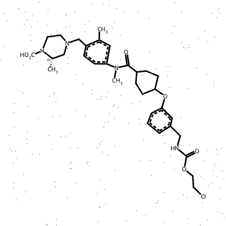 Cc1cc(N(C)C(=O)C2CCC(Oc3cccc(CNC(=O)OCCCl)c3)CC2)ccc1CN1CCN(C(=O)O)[C@@H](C)C1